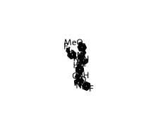 COc1ccc(Cn2nc(NC3CCN(CCF)CC3)c3c(Oc4ccc(NC(=O)c5ccnn(-c6ccc(F)cc6)c5=O)cc4F)ccnc32)cc1